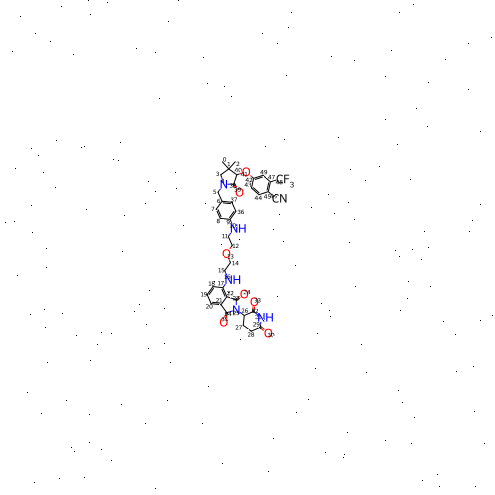 CC1(C)CN(Cc2ccc(NCCOCCNc3cccc4c3C(=O)N(C3CCC(=O)NC3=O)C4=O)cc2)C(=O)C1Oc1ccc(C#N)c(C(F)(F)F)c1